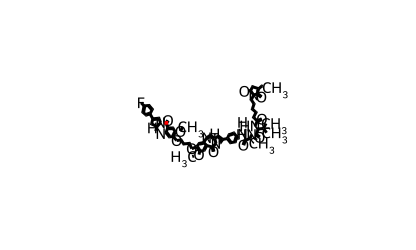 CCC1CC(=O)N(CCCCCC(=O)N[C@H](C(=O)N[C@@H](C)C(=O)Nc2ccc(C3=CN4C(=O)c5cc(OC)c(OCCCOc6cc7c(cc6OC)C(=O)N6C=C(c8ccc(F)cc8)C[C@H]6C=N7)cc5N=C[C@@H]4C3)cc2)C(C)C)C1=O